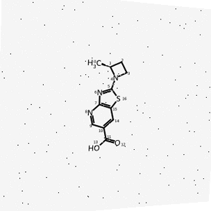 C[C@H]1CCN1c1nc2ncc(C(=O)O)cc2s1